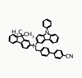 CC1(C)c2ccccc2-c2ccc(N(Cc3ccc(-c4ccc(C#N)cc4)cc3)c3ccc4c(c3)c3ccccc3n4-c3ccccc3)cc21